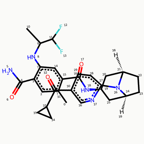 Cc1cc(C(N)=O)c(NC(C)C(F)F)cc1C(=O)N[C@H]1C[C@H]2CC[C@@H](C1)N2c1ccc(C(=O)C2CC2)cn1